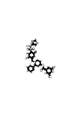 O=C(OC1CCN(Cc2cc(F)c(S(=O)(=O)Nc3ncns3)cc2F)C(c2ccccc2)C1)c1cc(Cl)cc(Cl)c1